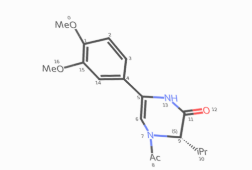 COc1ccc(C2=CN(C(C)=O)[C@@H](C(C)C)C(=O)N2)cc1OC